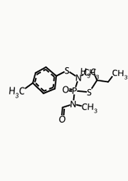 CCC(C)SP(=O)(N(C)C=O)N(C)Sc1ccc(C)cc1